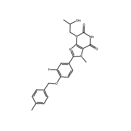 Cc1ccc(COc2ccc(-c3nc4c(c(=O)[nH]c(=O)n4CC(C)O)n3C)cc2F)cc1